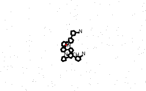 Cc1ccc(-n2c3ccccc3c3cc(-c4cccc(C#N)c4)ccc32)c(-c2c(C#N)cccc2-n2c3ccccc3c3cc(-c4cccc(C#N)c4)ccc32)c1